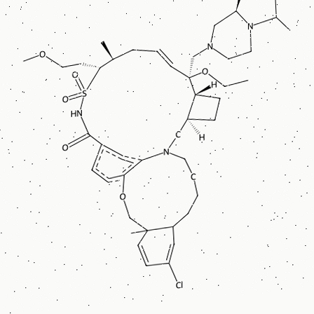 CCO[C@]1(CN2CCN(C(C)C)[C@H](C)C2)/C=C/C[C@H](C)[C@@H](CCOC)S(=O)(=O)NC(=O)c2ccc3c(c2)N(CCCCC2C=C(Cl)C=CC2(C)CO3)C[C@@H]2CC[C@H]21